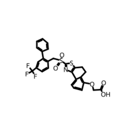 O=C(O)COc1cccc2c1CCc1sc(S(=O)(=O)Cc3ccc(C(F)(F)F)cc3-c3ccccc3)nc1-2